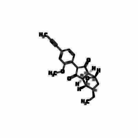 CC#Cc1ccc(C2C(=O)[C@@H]3[C@@H]4O[C@@H](C[C@H]4CC)[C@@H]3C2=O)c(OC)c1